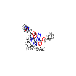 CC(=O)OCC1=N[C@H](NC(=O)OCc2ccccc2)C(=O)N(CC(=O)N2CC3CCC(CC3)C2)c2c(C)cccc21